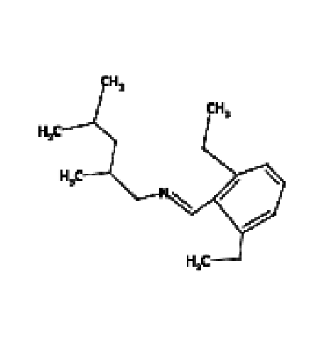 CCc1cccc(CC)c1C=NCC(C)CC(C)C